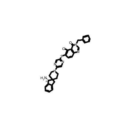 N[C@H]1c2ccccc2CC12CCN(c1cnc(Sc3ccc4ncn(Cc5ccccc5)c(=O)c4c3Cl)cn1)CC2